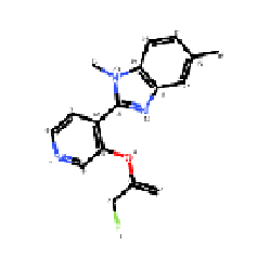 C=C(CF)Oc1cnccc1-c1nc2cc(C)ccc2n1C